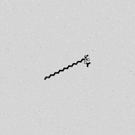 CCCCCCCCCCCCCCCCCCP(=O)(OC)OC(C)C